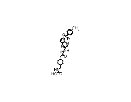 Cc1ccc(S(=O)(=O)n2ccc3nc(NNC(=O)C[C@H]4CC[C@H](CNC(=O)O)CC4)cnc32)cc1